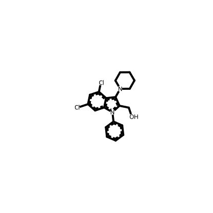 OCc1c(N2CCCCC2)c2c(Cl)cc(Cl)cc2n1-c1ccccc1